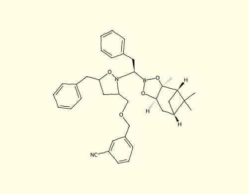 CC1(C)[C@@H]2C[C@H]3OB([C@H](Cc4ccccc4)N4OC(Cc5ccccc5)CC4COCc4cccc(C#N)c4)O[C@@]3(C)[C@H]1C2